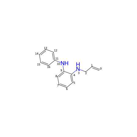 C=CCNc1ccccc1Nc1ccccc1